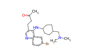 CC(=O)CCc1cnc2ccc(Br)cc2c1NC1CCC(CN(C)C)CC1